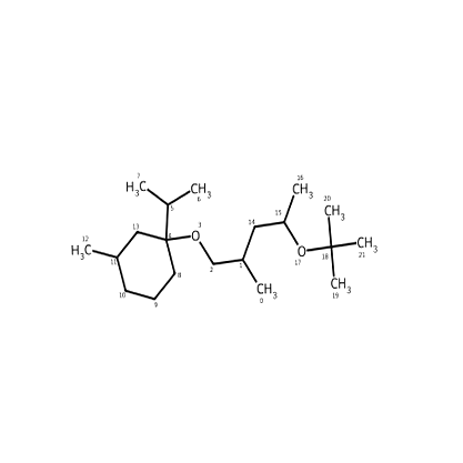 CC(COC1(C(C)C)CCCC(C)C1)CC(C)OC(C)(C)C